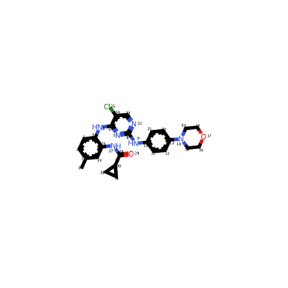 Cc1ccc(Nc2nc(Nc3ccc(N4CCOCC4)cc3)ncc2Cl)c(NC(=O)C2CC2)c1